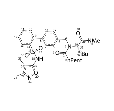 CCCCCC(=O)N(Cc1ccc(-c2ccccc2S(=O)(=O)Nc2onc(C)c2C)cc1)[C@H](C(=O)NC)[C@@H](C)CC